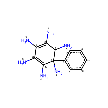 NC1=C(N)C(N)C(N)(c2ccccc2)C(N)=C1N